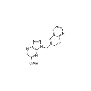 COc1cnc2nnn(Cc3ccc4ncccc4c3)c2n1